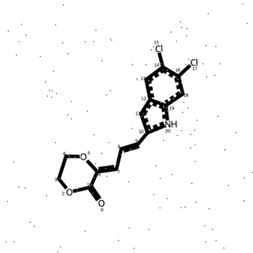 O=C1OCCOC1=CC=Cc1cc2cc(Cl)c(Cl)cc2[nH]1